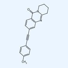 Cc1ccc(C#Cc2ccc3c(=O)n4c(nc3c2)CCCC4)cc1